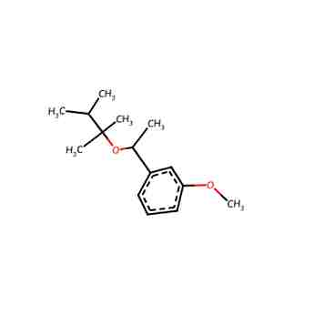 COc1cccc(C(C)OC(C)(C)C(C)C)c1